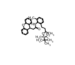 Cc1cccc(CCC(C)O[Si](C)(C)C(C)(C)C)c1NC(=O)CC1c2ccccc2Oc2ccccc21